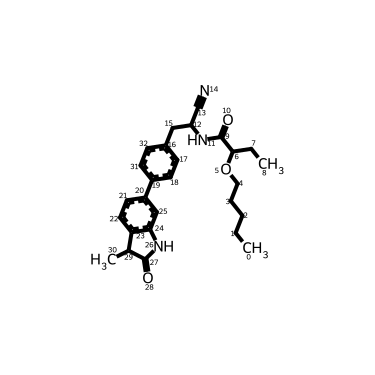 CCCCCOC(CC)C(=O)NC(C#N)Cc1ccc(-c2ccc3c(c2)NC(=O)C3C)cc1